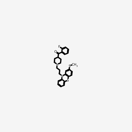 CSc1ccc2c(c1)N(CCCN1CCC(C(=O)c3ccccc3F)CC1)c1ccccc1S2